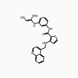 CS/C(=C\N=O)Nc1cccc(NC(=O)c2sccc2NCc2ccnc3ccccc23)c1